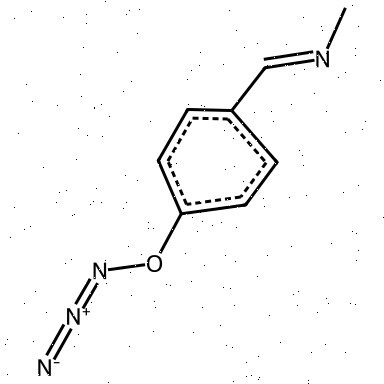 CN=Cc1ccc(ON=[N+]=[N-])cc1